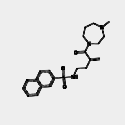 C=C(CCNS(=O)(=O)c1ccc2ccccc2c1)C(=O)N1CCCN(C)CC1